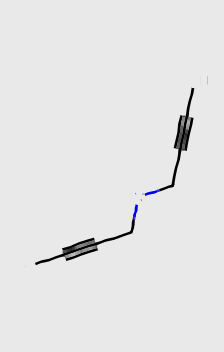 CC#CCNCC#CC